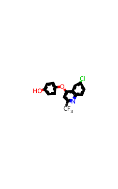 Oc1ccc(Oc2cc(C(F)(F)F)nc3ccc(Cl)cc23)cc1